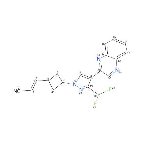 N#C/C=C/C1CC(n2cc(-c3cnc4ccccc4n3)c(C(F)F)n2)C1